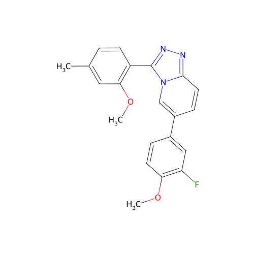 COc1ccc(-c2ccc3nnc(-c4ccc(C)cc4OC)n3c2)cc1F